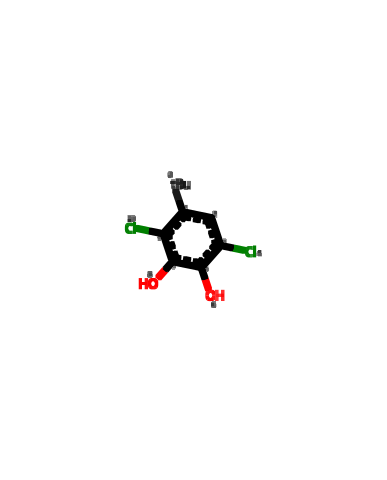 CC(C)(C)c1cc(Cl)c(O)c(O)c1Cl